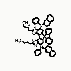 CCCCc1nc2c(N(c3ccccc3)c3ccc4ccccc4c3)cc3c(c2o1)-c1c(cc(N(c2ccccc2)c2ccc4ccccc4c2)c2nc(CCCC)oc12)C31c2ccccc2-c2ccccc21